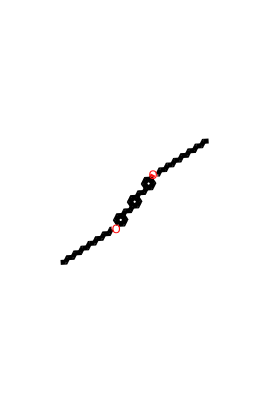 CCCCCCCCCCCCCCCOc1ccc(CCc2ccc(CCc3ccc(OCCCCCCCCCCCCCCC)cc3)cc2)cc1